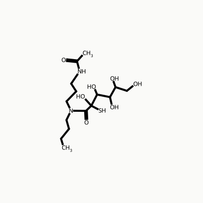 CCCCN(CCCNC(C)=O)C(=O)C(O)(S)C(O)C(O)C(O)CO